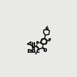 CCOC(=O)C(=CNC1CC1)C(=O)c1cc(F)c(C2CCN(C)CC2)cc1F